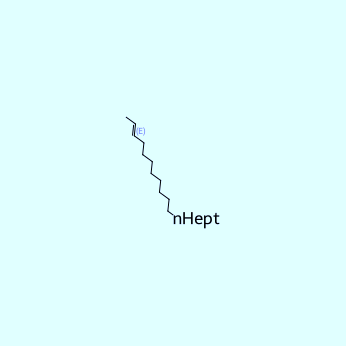 C/C=C/CCCCCCCCCCCCCCC